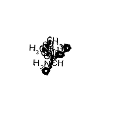 COC(=O)N[C@H](C(=O)NN(Cc1ccc(-c2ccccn2)cc1)C[C@H](O)[C@@H](N)Cc1ccccc1)C(C)(C)C